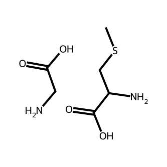 CSCC(N)C(=O)O.NCC(=O)O